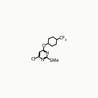 CSc1nc(Cl)cc(OC2CCC(C(F)(F)F)CC2)n1